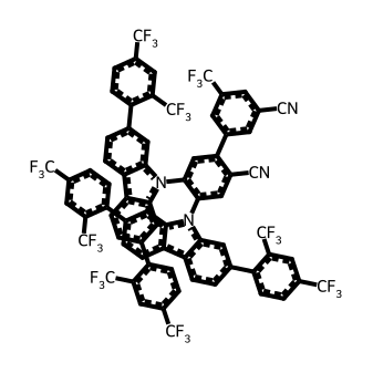 N#Cc1cc(-c2cc(-n3c4cc(-c5ccc(C(F)(F)F)cc5C(F)(F)F)ccc4c4ccc(-c5ccc(C(F)(F)F)cc5C(F)(F)F)cc43)c(-n3c4cc(-c5ccc(C(F)(F)F)cc5C(F)(F)F)ccc4c4ccc(-c5ccc(C(F)(F)F)cc5C(F)(F)F)cc43)cc2C#N)cc(C(F)(F)F)c1